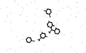 Cc1cc(C(=O)OCc2ccccc2)cc(C)c1OC(=O)c1c2ccccc2nc2cc(OCc3cccc(N)c3)ccc12